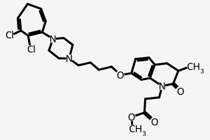 COC(=O)CCN1C(=O)C(C)Cc2ccc(OCCCCN3CCN(C4=C(Cl)C(Cl)=CCC=C4)CC3)cc21